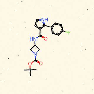 CC(C)(C)OC(=O)N1CC(NC(=O)c2cc[nH]c2-c2ccc(F)cc2)C1